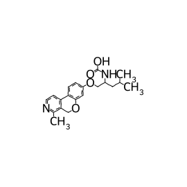 Cc1nccc2c1COc1cc(OCC(CC(C)C)NC(=O)O)ccc1-2